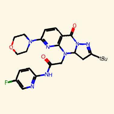 CC(C)(C)C1=NN2C(=O)c3ccc(N4CCOCC4)nc3N(CC(=O)Nc3ccc(F)cn3)C2C1